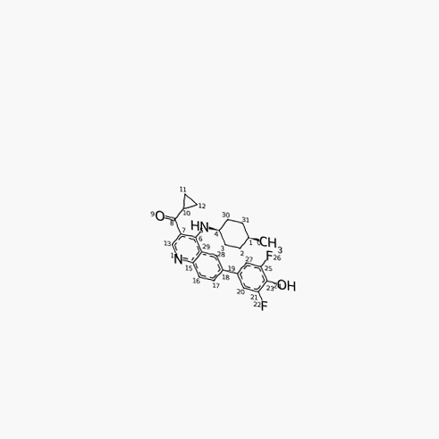 C[C@H]1CC[C@@H](Nc2c(C(=O)C3CC3)cnc3ccc(-c4cc(F)c(O)c(F)c4)cc23)CC1